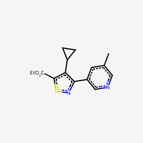 CCOC(=O)c1snc(-c2cncc(C)c2)c1C1CC1